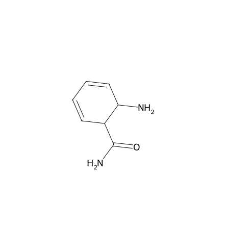 NC(=O)C1C=CC=CC1N